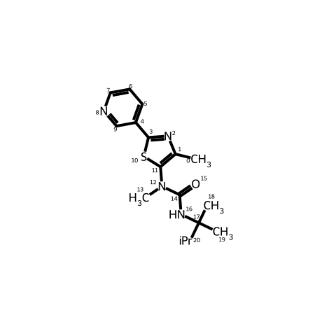 Cc1nc(-c2cccnc2)sc1N(C)C(=O)NC(C)(C)C(C)C